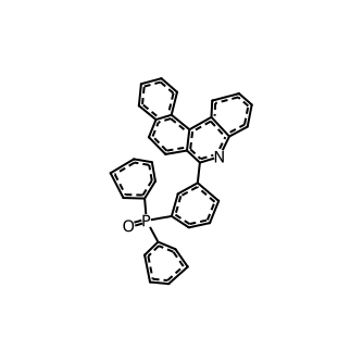 O=P(c1ccccc1)(c1ccccc1)c1cccc(-c2nc3ccccc3c3c2ccc2ccccc23)c1